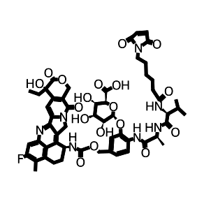 CC[C@@]1(O)C(=O)OCc2c1cc1n(c2=O)Cc2c-1nc1cc(F)c(C)c3c1c2[C@@H](NC(=O)OCc1ccc(NC(=O)[C@H](C)NC(=O)[C@@H](NC(=O)CCCCCN2C(=O)C=CC2=O)C(C)C)c(O[C@@H]2O[C@H](C(=O)O)[C@@H](O)[C@H](O)[C@H]2O)c1)CC3